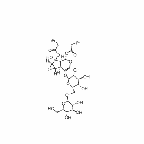 CC(C)CC(=O)O[C@@H]1OC=C(O[C@@H]2O[C@H](CO[C@@H]3O[C@H](CO)[C@@H](O)[C@H](O)[C@H]3O)[C@@H](O)[C@H](O)[C@H]2O)[C@H]2[C@@H]3O[C@@H]3[C@@](O)(OC(=O)CC(C)C)[C@@H]12